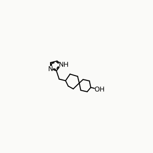 OC1CCC2(CC1)CCC(Cc1ncc[nH]1)CC2